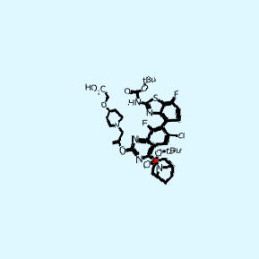 CC(CN1CCC(OCC(=O)O)CC1)Oc1nc(N2CC3CCC(C2)N3C(=O)OC(C)(C)C)c2cc(Cl)c(-c3ccc(F)c4sc(NC(=O)OC(C)(C)C)nc34)c(F)c2n1